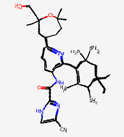 BC1=C(c2nc(C3CC(C)(C)OC(C)(CO)C3)ccc2NC(=O)c2nc(C#N)c[nH]2)C(B)(B)CC(C)(C)C1B